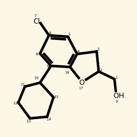 OCC1Cc2cc(Cl)cc(C3CCCCC3)c2O1